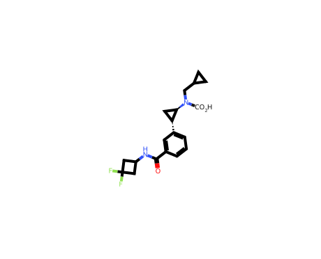 O=C(NC1CC(F)(F)C1)c1cccc([C@@H]2C[C@H]2N(CC2CC2)C(=O)O)c1